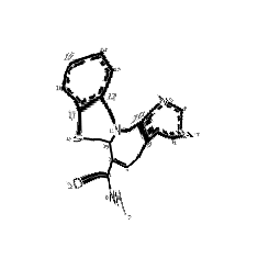 NC(=O)C1=Cc2cncnc2N2c3ccccc3SC12